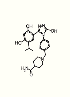 CC(C)c1cc(-c2nnc(O)n2-c2ccc(CN3CCC(C(N)=O)CC3)cc2)c(O)cc1O